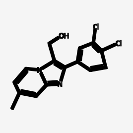 Cc1ccn2c(CO)c(-c3ccc(Cl)c(Cl)c3)nc2c1